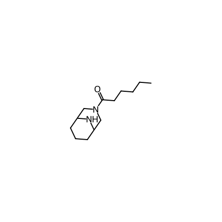 CCCCCC(=O)N1CC2CCCC(C1)N2